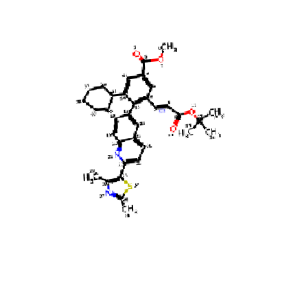 COC(=O)c1cc(/C=C/C(=O)OC(C)(C)C)c(-c2ccc3nc(-c4sc(C)nc4C)ccc3c2)c(C2CCCCC2)c1